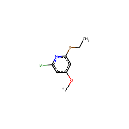 CCSc1cc(OC)cc(Br)n1